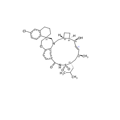 CC(C)C[C@H]1C[C@H](C)/C=C/[C@H](O)[C@@H]2CC[C@H]2CN2C[C@@]3(CCCc4cc(Cl)ccc43)COc3ccc(cc32)C(=O)NS1(=O)=O